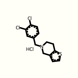 Cl.Clc1ccc(CN2CCc3sccc3C2)cc1Cl